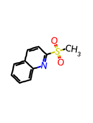 CS(=O)(=O)c1ccc2ccccc2n1